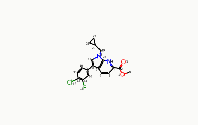 COC(=O)c1ccc2c(-c3ccc(Cl)c(F)c3)cn(CC3CC3)c2n1